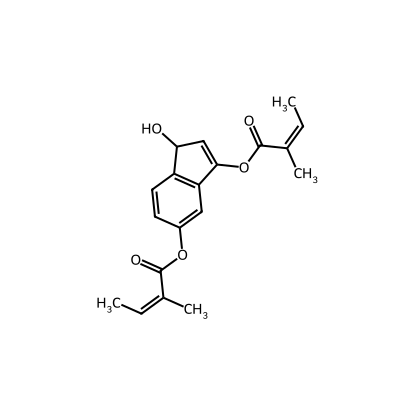 C/C=C(/C)C(=O)OC1=CC(O)c2ccc(OC(=O)/C(C)=C\C)cc21